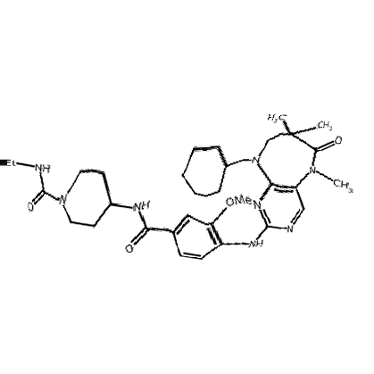 CCNC(=O)N1CCC(NC(=O)c2ccc(Nc3ncc4c(n3)N(C3CCCCC3)CC(C)(C)C(=O)N4C)c(OC)c2)CC1